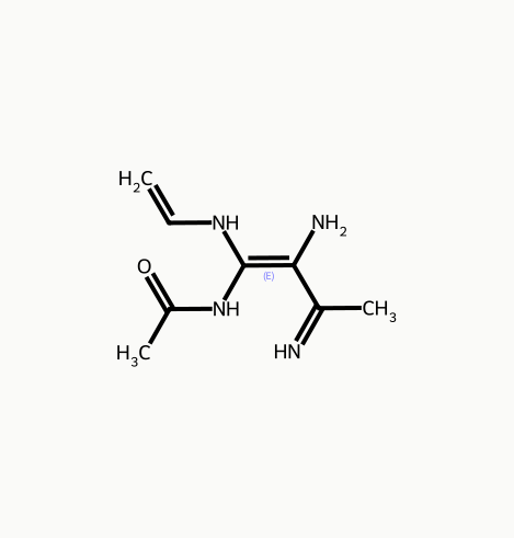 C=CN/C(NC(C)=O)=C(\N)C(C)=N